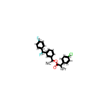 CC(C)C(C(=O)OC(C#N)c1cccc(C(F)c2ccc(F)cc2)c1)c1ccc(Cl)cc1